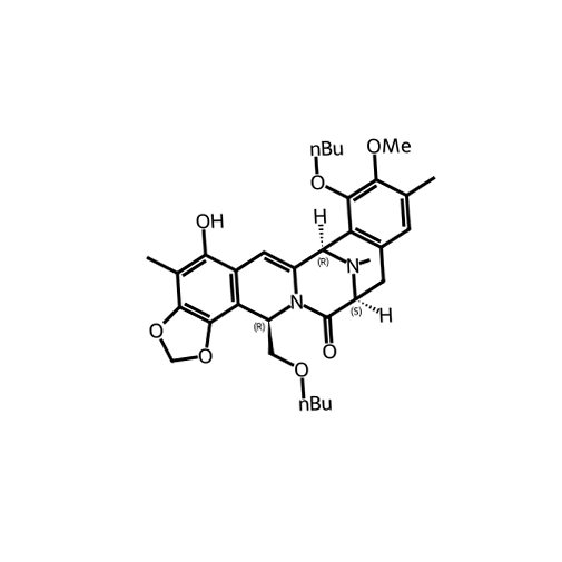 CCCCOC[C@H]1c2c(c(O)c(C)c3c2OCO3)C=C2[C@H]3c4c(cc(C)c(OC)c4OCCCC)C[C@@H](C(=O)N21)N3C